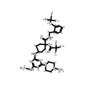 CNc1nc(NC2CCC(OC(=O)C(F)(F)F)(C(=O)NCc3ccccc3OC(F)(F)F)CC2)nc(N2CCN(C)CC2)n1